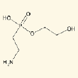 NCCP(=O)(O)OCCO